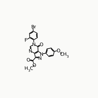 COC(=O)c1nn(-c2ccc(OC)cc2)c2c(=O)n(-c3ccc(Br)cc3F)cnc12